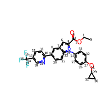 CCOC(=O)c1cc2cc(-c3ccc(C(F)(F)F)cn3)ccc2n1-c1ccc(OC2CC2)cc1